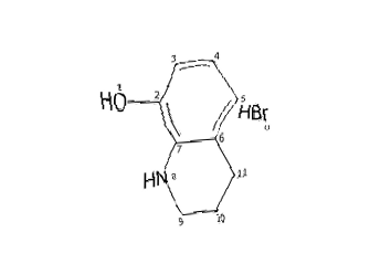 Br.Oc1cccc2c1NCCC2